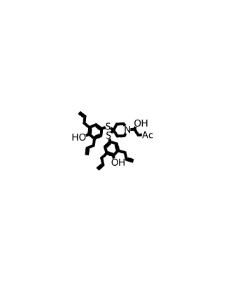 C=CCc1cc(SC2(Sc3cc(CC=C)c(O)c(CC=C)c3)CCN(C(O)CC(C)=O)CC2)cc(CC=C)c1O